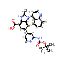 Cc1nc2c(C(=O)O)cc(-c3ccnc(NC(=O)OC(C)(C)C)c3)cc2n1-c1ccnc2c(Cl)ccc(F)c12